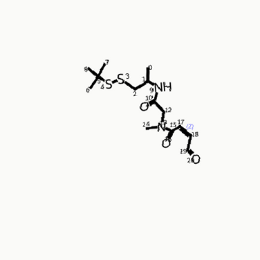 CC(CSSC(C)(C)C)NC(=O)CN(C)C(=O)/C=C\C=O